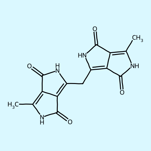 CC1=C2C(=O)NC(CC3=C4C(=O)NC(C)=C4C(=O)N3)=C2C(=O)N1